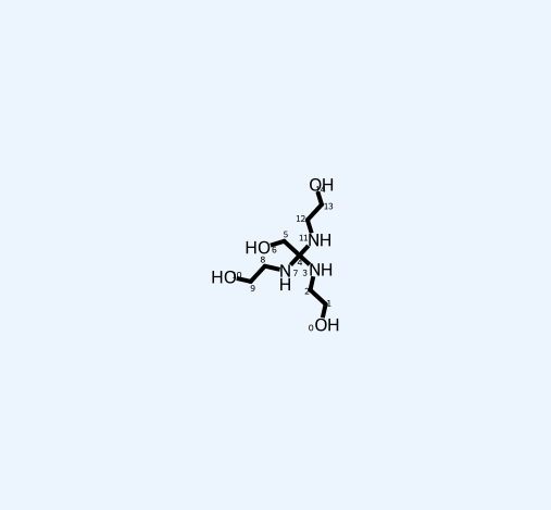 OCCNC(CO)(NCCO)NCCO